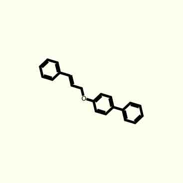 C(=Cc1ccccc1)COc1ccc(-c2ccccc2)cc1